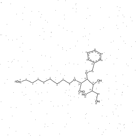 CCCCCCCCCCCCCCCCCCOC(C=O)C(OCc1ccccc1)C(O)C(O)CO